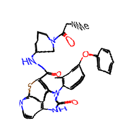 CNCC(=O)N1CCCC(NC(=O)c2sc3nccc4c3c2N(c2ccc(Oc3ccccc3)cc2C)C(=O)N4)C1